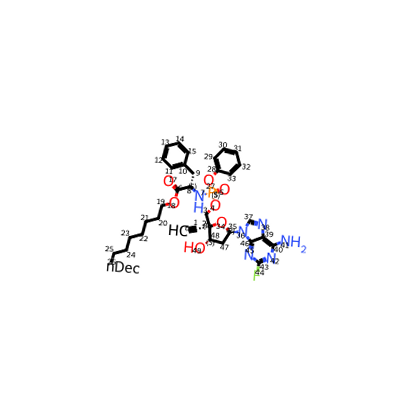 C#C[C@]1(CO[P@@](=O)(N[C@@H](Cc2ccccc2)C(=O)OCCCCCCCCCCCCCCCCC)Oc2ccccc2)O[C@@H](n2cnc3c(N)nc(F)nc32)C[C@@H]1O